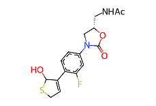 CC(=O)NC[C@H]1CN(c2ccc(C3=CCSC3O)c(F)c2)C(=O)O1